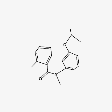 Cc1ccccc1C(=O)N(C)c1cccc(OC(C)C)c1